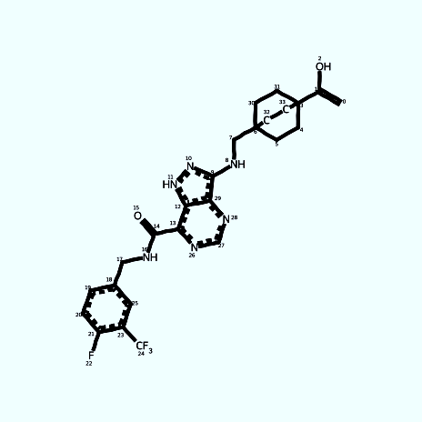 C=C(O)C12CCC(CNc3n[nH]c4c(C(=O)NCc5ccc(F)c(C(F)(F)F)c5)ncnc34)(CC1)CC2